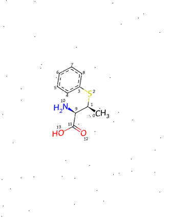 C[C@H](Sc1ccccc1)[C@H](N)C(=O)O